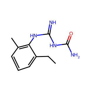 CCc1cccc(C)c1NC(=N)NC(N)=O